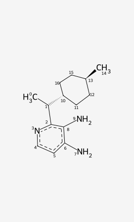 CC(c1nccc(N)c1N)[C@H]1CC[C@H](C)CC1